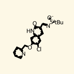 CC(C)(C)[S+]([O-])N=Cc1cc2cc(Cl)c(OCc3ccccn3)cc2[nH]c1=O